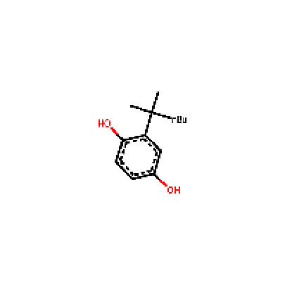 CCCCC(C)(C)c1cc(O)ccc1O